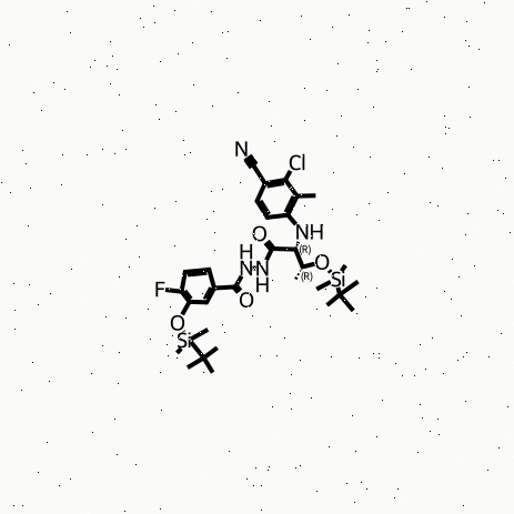 Cc1c(N[C@@H](C(=O)NNC(=O)c2ccc(F)c(O[Si](C)(C)C(C)(C)C)c2)[C@@H](C)O[Si](C)(C)C(C)(C)C)ccc(C#N)c1Cl